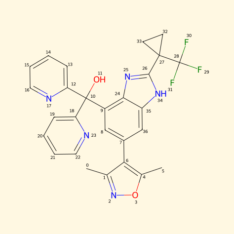 Cc1noc(C)c1-c1cc(C(O)(c2ccccn2)c2ccccn2)c2nc(C3(C(F)(F)F)CC3)[nH]c2c1